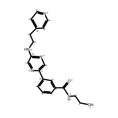 O=C(NCCO)c1cccc(-c2cnc(NCCc3ccncc3)cn2)c1